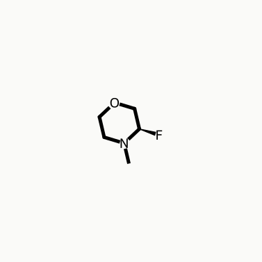 CN1CCOC[C@H]1F